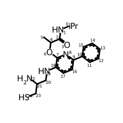 CC(C)NC(=O)C(C)Oc1nc(-c2ccccc2)ccc1NCC(N)CS